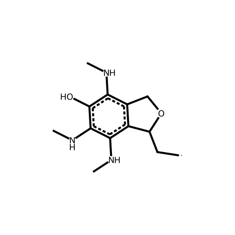 [CH2]CC1OCc2c(NC)c(O)c(NC)c(NC)c21